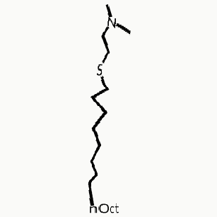 CCCCCCCCCCCCCCCCSCCN(C)C